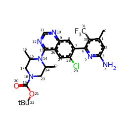 Cc1cc(N)nc(-c2cc3ncnc(N4C(C)CN(C(=O)OC(C)(C)C)CC4C)c3cc2Cl)c1C(F)(F)F